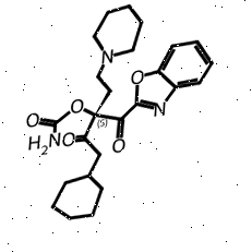 NC(=O)O[C@@](CCN1CCCCC1)(C(=O)CC1CCCCC1)C(=O)c1nc2ccccc2o1